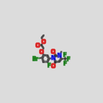 CCOC(=O)COc1cc(-n2c(=O)cc(C(F)(F)F)n(C)c2=O)c(F)cc1Br